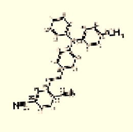 Cc1ccc(N(c2ccccc2)c2ccc(C=Cc3cc(C#N)ccc3C#N)cc2)cc1